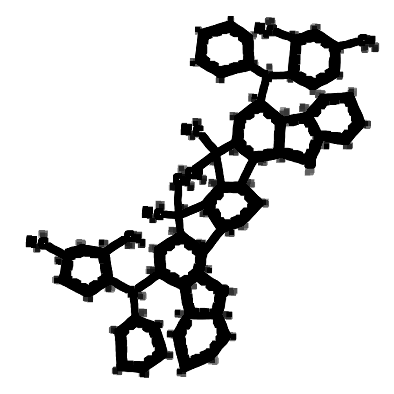 Cc1ccc(N(c2ccccc2)c2cc3c(c4oc5ccccc5c24)-c2ccc4c(c2C3(C)C)C(C)(C)c2cc(N(c3ccccc3)c3ccc(C)cc3C)c3c(oc5ccccc53)c2-4)c(C)c1